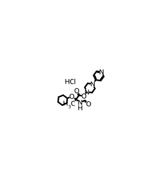 CC(NC=O)(OC1CCCCC1)C(=O)ON1CCN(c2ccncc2)CC1.Cl